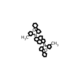 Cc1cccc(N(c2ccc3ccc4c(N(c5cccc(C)c5)c5cccc6c5oc5ccccc56)ccc5ccc2c3c54)c2cccc3c2oc2ccccc23)c1